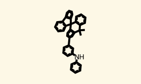 CC1(C)c2ccccc2C2(c3ccccc3-c3ccccc32)c2ccc(-c3cccc(Nc4ccccc4)c3)cc21